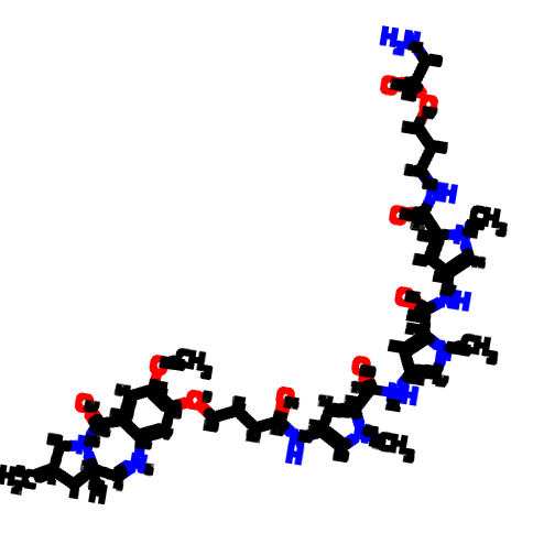 C=C1C[C@H]2C=Nc3cc(OCCCC(=O)Nc4cc(C(=O)Nc5cc(C(=O)Nc6cc(C(=O)NCCCOC(=O)CN)n(C)c6)n(C)c5)n(C)c4)c(OC)cc3C(=O)N2C1